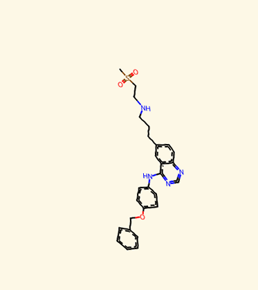 CS(=O)(=O)CCNCCCc1ccc2ncnc(Nc3ccc(OCc4ccccc4)cc3)c2c1